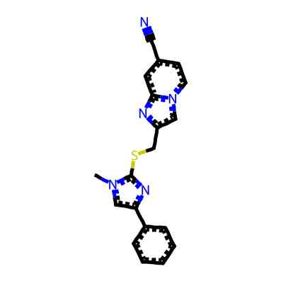 Cn1cc(-c2ccccc2)nc1SCc1cn2ccc(C#N)cc2n1